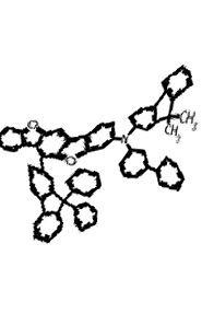 CC1(C)c2ccccc2-c2ccc(N(c3cccc(-c4ccccc4)c3)c3ccc4c(c3)oc3c(-c5ccc6c(c5)C(c5ccccc5)(c5ccccc5)c5ccccc5-6)c5c(cc34)oc3ccccc35)cc21